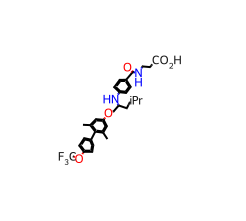 Cc1cc(OCC(CC(C)C)Nc2ccc(C(=O)NCCC(=O)O)cc2)cc(C)c1-c1ccc(OC(F)(F)F)cc1